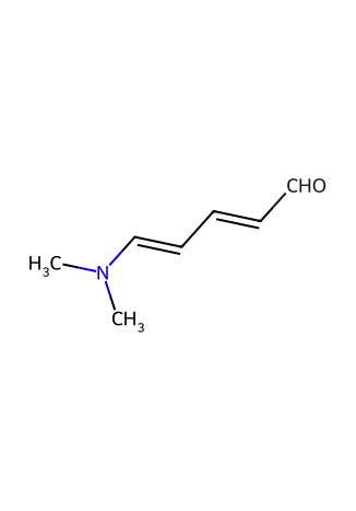 CN(C)/C=C/C=C/C=O